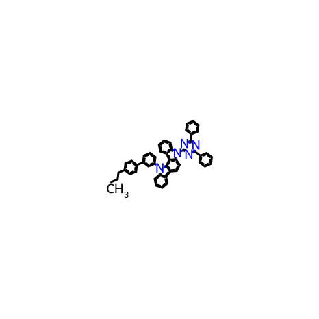 CCCCc1ccc(-c2cccc(-n3c4ccccc4c4ccc5c(c6ccccc6n5-c5nc(-c6ccccc6)nc(-c6ccccc6)n5)c43)c2)cc1